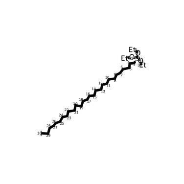 CCO[Si](CCCCCCCCCCCCCCCCCCCCCCCCCCCI)(OCC)OCC